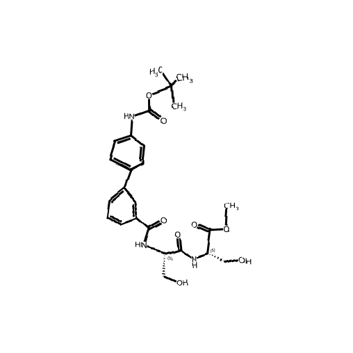 COC(=O)[C@H](CO)NC(=O)[C@H](CO)NC(=O)c1cccc(-c2ccc(NC(=O)OC(C)(C)C)cc2)c1